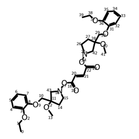 CCOc1ccccc1OCC1(OC)CCN(OC(=O)/C=C/C(=O)ON2CCC(COc3ccccc3OCC)(OC)C2)C1